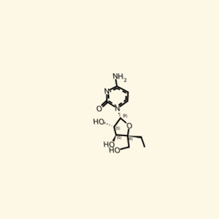 CC[C@]1(CO)O[C@@H](n2ccc(N)nc2=O)[C@@H](O)[C@@H]1O